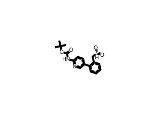 CC(C)(C)OC(=O)Nc1ccc(-c2ccccc2C[SH](=O)=O)cn1